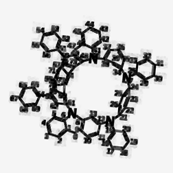 Cc1ccccc1N1c2cccc(c2)N(c2ccccc2)c2ccc(cc2)N(c2ccccc2)c2cccc(c2)N(c2ccccc2C)c2cc(-c3ccccc3)c3ccc4c1cc(-c1ccccc1)c1ccc2c3c14